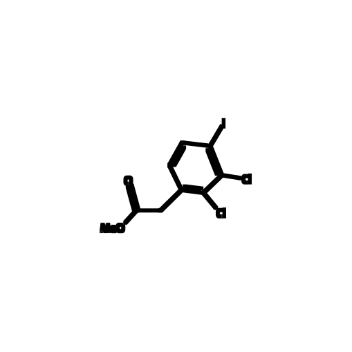 COC(=O)Cc1ccc(I)c(Cl)c1Cl